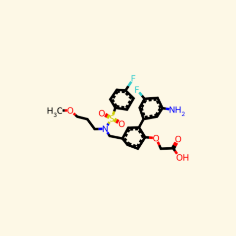 COCCCN(Cc1ccc(OCC(=O)O)c(-c2cc(N)cc(F)c2)c1)S(=O)(=O)c1ccc(F)cc1